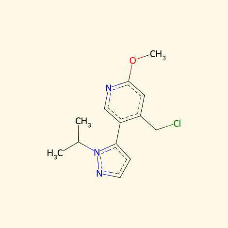 COc1cc(CCl)c(-c2ccnn2C(C)C)cn1